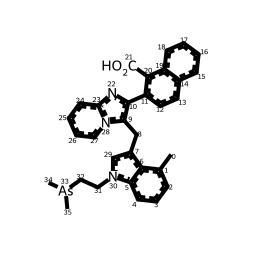 Cc1cccc2c1c(Cc1c(-c3ccc4ccccc4c3C(=O)O)nc3ccccn13)cn2CC[As](C)C